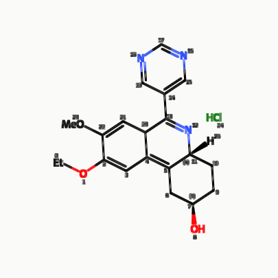 CCOC1=CC2=C3C[C@H](O)CC[C@H]3N=C(c3cncnc3)C2C=C1OC.Cl